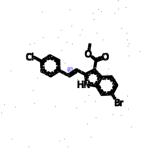 COC(=O)c1c(/C=C/c2ccc(Cl)cc2)[nH]c2cc(Br)ccc12